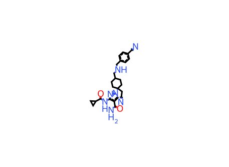 N#CCC1(n2cc(C(N)=O)c(NC(=O)C3CC3)n2)CCC(CNCc2ccc(C#N)cc2)CC1